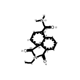 CCN1C(=O)c2cccc3c(C(=O)N(C)C)ccc(c23)C1=O